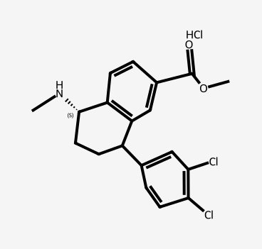 CN[C@H]1CCC(c2ccc(Cl)c(Cl)c2)c2cc(C(=O)OC)ccc21.Cl